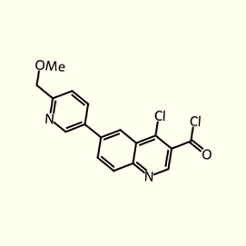 COCc1ccc(-c2ccc3ncc(C(=O)Cl)c(Cl)c3c2)cn1